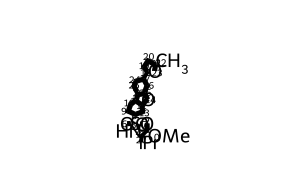 COC(=O)C(NS(=O)(=O)c1ccc2c(c1)oc1cc(-c3ccc(C)o3)ccc12)C(C)C